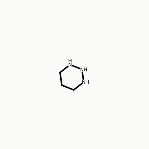 C1CNNNC1